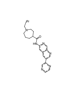 CC(C)CN1CCCC(C(=O)Nc2cc3cc(-c4cnccn4)cnc3cn2)CC1